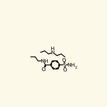 CCCNC(=O)c1ccc(S(N)(=O)=O)cc1.CCCNCCC